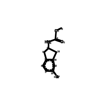 COC(=O)NC1Cc2ccc(Br)cc2C1